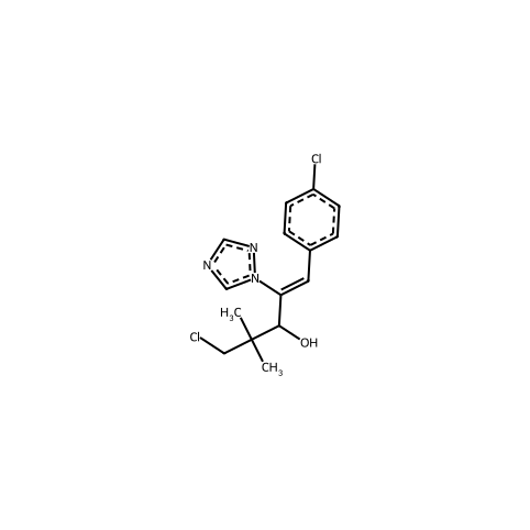 CC(C)(CCl)C(O)C(=Cc1ccc(Cl)cc1)n1cncn1